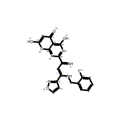 N=C(/C=C(\NCc1ccccc1F)c1ccon1)c1nc(O)c2c(=O)cc(O)oc2n1